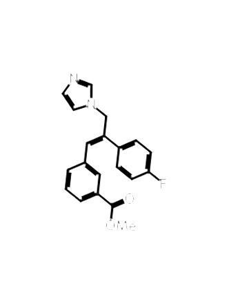 COC(=O)c1cccc(/C=C(/Cn2ccnc2)c2ccc(F)cc2)c1